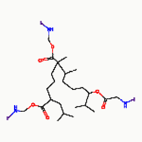 CC(C)CC(CCCC(C)(C(=O)OCNI)C(C)CCCC(OC(=O)CNI)C(C)C)C(=O)OCNI